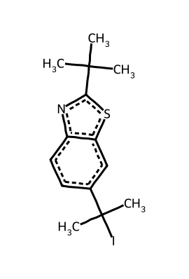 CC(C)(C)c1nc2ccc(C(C)(C)I)cc2s1